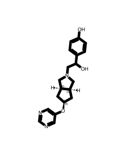 Oc1ccc(C(O)CN2C[C@H]3C[C@@H](Oc4cncnc4)C[C@H]3C2)cc1